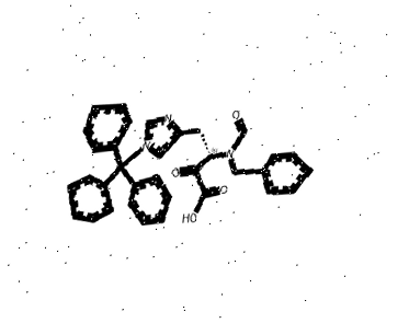 O=CN(Cc1ccccc1)[C@@H](Cc1cn(C(c2ccccc2)(c2ccccc2)c2ccccc2)cn1)C(=O)C(=O)O